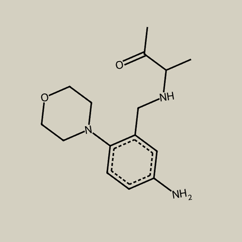 CC(=O)C(C)NCc1cc(N)ccc1N1CCOCC1